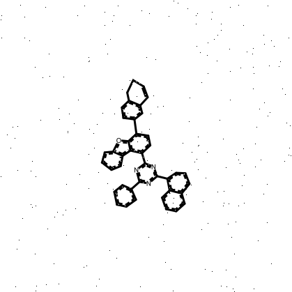 C1=Cc2cc(-c3ccc(-c4nc(-c5ccccc5)nc(-c5cccc6ccccc56)n4)c4c3oc3ccccc34)ccc2CC1